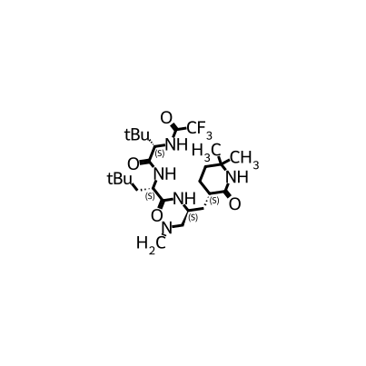 C=NC[C@H](C[C@@H]1CCC(C)(C)NC1=O)NC(=O)[C@H](CC(C)(C)C)NC(=O)[C@@H](NC(=O)C(F)(F)F)C(C)(C)C